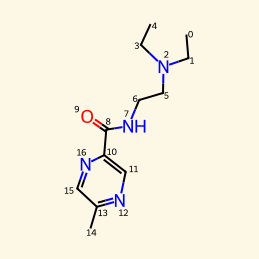 CCN(CC)CCNC(=O)c1cnc(C)cn1